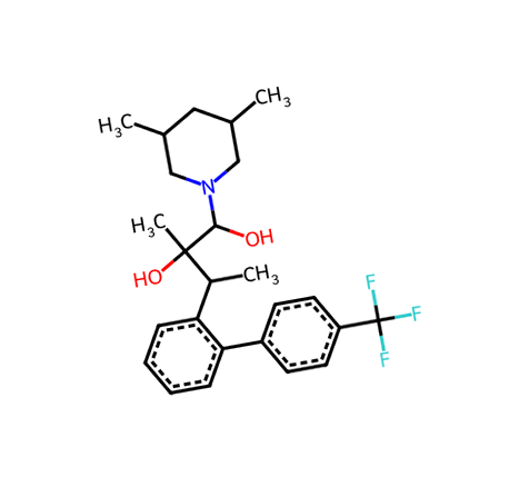 CC1CC(C)CN(C(O)C(C)(O)C(C)c2ccccc2-c2ccc(C(F)(F)F)cc2)C1